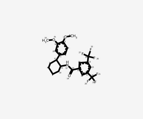 COc1ccc(C2CCCCC2NC(=O)c2cc(C(F)(F)F)cc(C(F)(F)F)c2)cc1OC